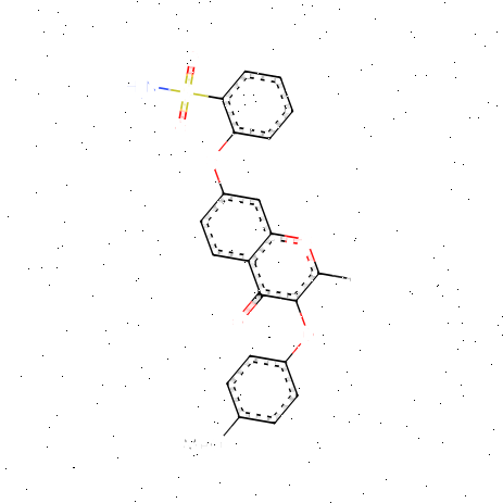 COc1ccc(Oc2c(C(F)(F)F)oc3cc(Oc4ccccc4S(N)(=O)=O)ccc3c2=O)cc1